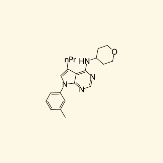 CCCc1cn(-c2cccc(C)c2)c2ncnc(NC3CCOCC3)c12